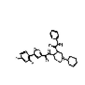 O=C(NC1CCN(C2CCCCC2)CC1C(=O)Nc1ccccc1)c1cc(-c2ccc(F)cc2F)on1